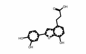 O=C(O)CCc1ccc(O)c2oc(-c3ccc(O)c(O)c3)cc12